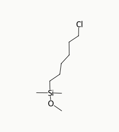 CO[Si](C)(C)CCCCCCCl